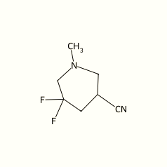 CN1CC(C#N)CC(F)(F)C1